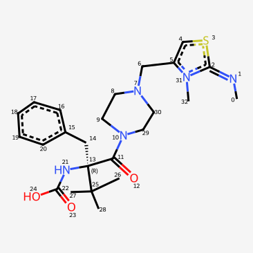 CN=c1scc(CN2CCN(C(=O)[C@](Cc3ccccc3)(NC(=O)O)C(C)(C)C)CC2)n1C